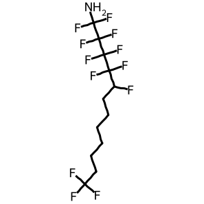 NC(F)(F)C(F)(F)C(F)(F)C(F)(F)C(F)CCCCCCC(F)(F)F